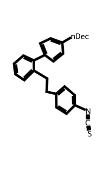 CCCCCCCCCCc1ccc(-c2ccccc2CCc2ccc(N=C=S)cc2)cc1